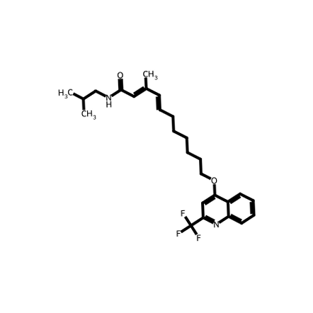 CC(C=CCCCCCCOc1cc(C(F)(F)F)nc2ccccc12)=CC(=O)NCC(C)C